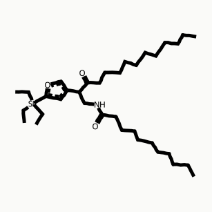 CCCCCCCCCCCC(=O)C(CNC(=O)CCCCCCCCCC)c1coc([Si](CC)(CC)CC)c1